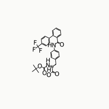 CC(C)(C)OC(=O)N[C@@H](Cc1ccc(NC(=O)c2ccccc2-c2ccc(C(F)(F)F)cc2)cc1)C(=O)O